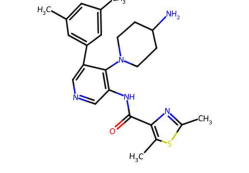 Cc1cc(C)cc(-c2cncc(NC(=O)c3nc(C)sc3C)c2N2CCC(N)CC2)c1